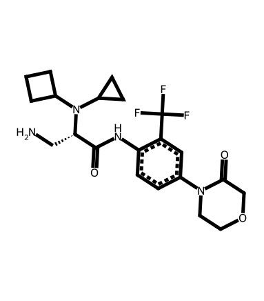 NC[C@@H](C(=O)Nc1ccc(N2CCOCC2=O)cc1C(F)(F)F)N(C1CCC1)C1CC1